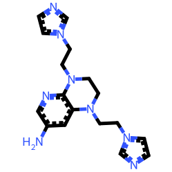 Nc1cnc2c(c1)N(CCn1ccnc1)CCN2CCn1ccnc1